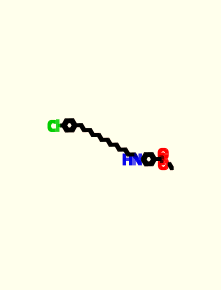 CCOC(=O)c1ccc(NCCCCCCCCCCCCCc2ccc(Cl)cc2)cc1